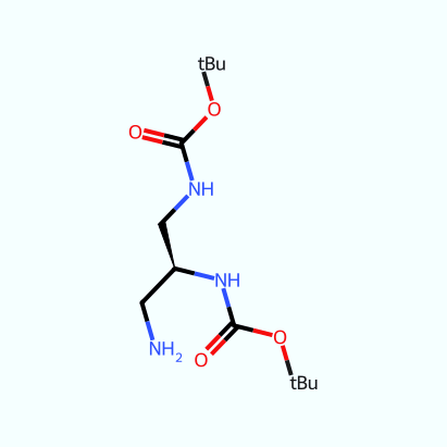 CC(C)(C)OC(=O)NC[C@H](CN)NC(=O)OC(C)(C)C